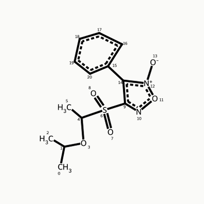 CC(C)OC(C)S(=O)(=O)c1no[n+]([O-])c1-c1ccccc1